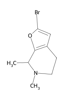 CC1c2oc(Br)cc2CCN1C